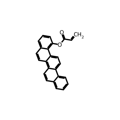 C=CC(=O)Oc1cccc2ccc3c4ccc5ccccc5c4ccc3c12